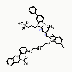 CCC(/C=C1\Oc2ccc(-c3ccccc3)cc2N1CCCS(=O)(=O)O)=C\c1sc2ccc(Cl)cc2[n+]1CCCCNCOc1cccc(N2Cc3ccccc3CC2C(=O)O)c1